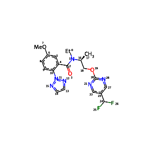 CCN(C(=O)c1cc(OC)ccc1-n1nccn1)[C@@H](C)COc1ncc(C(F)F)cn1